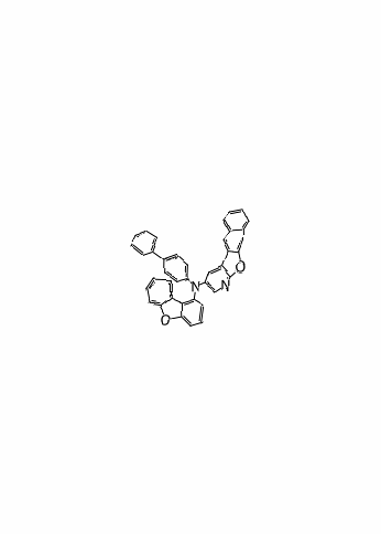 c1ccc(-c2ccc(N(c3cnc4oc5cc6ccccc6cc5c4c3)c3cccc4oc5ccccc5c34)cc2)cc1